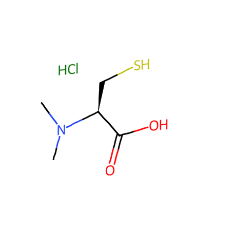 CN(C)[C@@H](CS)C(=O)O.Cl